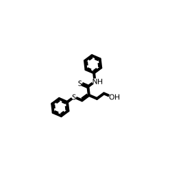 OCC/C(=C/Sc1ccccc1)C(=S)Nc1ccccc1